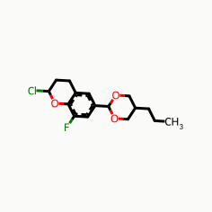 CCCC1COC(c2cc(F)c3c(c2)CCC(Cl)O3)OC1